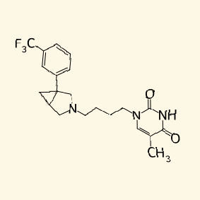 Cc1cn(CCCCN2CC3CC3(c3cccc(C(F)(F)F)c3)C2)c(=O)[nH]c1=O